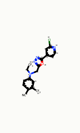 N#Cc1ccc(N(Cc2nnc(-c3ccnc(Cl)c3)o2)CC(F)(F)F)cc1C(F)(F)F